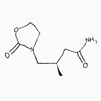 C[C@H](CC(N)=O)CN1CCOC1=O